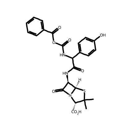 CC1(C)S[C@@H]2[C@H](NC(=O)C(NC(=O)OC(=O)c3ccccc3)c3ccc(O)cc3)C(=O)N2[C@H]1C(=O)O